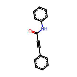 O=C(C#Cc1ccccc1)Nc1ccccc1